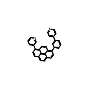 c1cncc(-c2ccc3ccc4ccc(-c5cccc(-c6ccncc6)c5)c5ccc2c3c45)c1